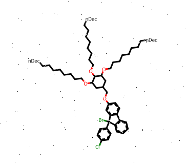 CCCCCCCCCCCCCCCCCCOC1CC(COc2ccc3c(c2)C(Br)(c2ccc(Cl)cc2)c2ccccc2-3)CC(OCCCCCCCCCCCCCCCCCC)C1OCCCCCCCCCCCCCCCCCC